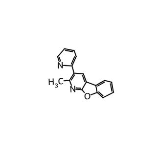 Cc1nc2oc3ccccc3c2cc1-c1ccccn1